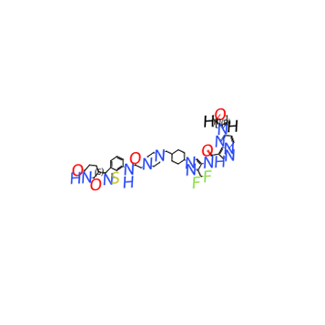 O=C1CC[C@@H](c2nsc3c(NC(=O)CN4CCN(CC5CCC(n6cc(NC(=O)c7cnn8ccc(N9C[C@H]%10C[C@@H]9CO%10)nc78)c(C(F)F)n6)CC5)CC4)cccc23)C(=O)N1